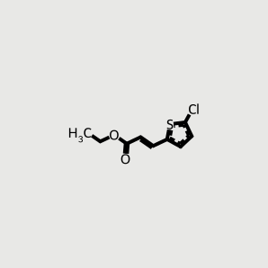 CCOC(=O)/C=C/c1ccc(Cl)s1